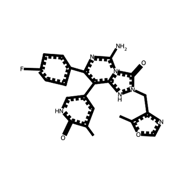 Cc1ocnc1Cn1[nH]c2c(-c3c[nH]c(=O)c(C)c3)c(-c3ccc(F)cc3)nc(N)[n+]2c1=O